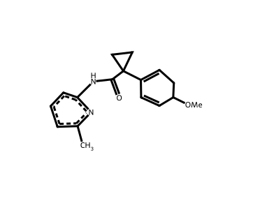 COC1C=CC(C2(C(=O)Nc3cccc(C)n3)CC2)=CC1